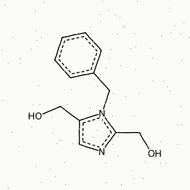 OCc1cnc(CO)n1Cc1ccccc1